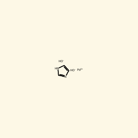 [OH-].[OH-].[Pd+2].c1c[nH]cn1